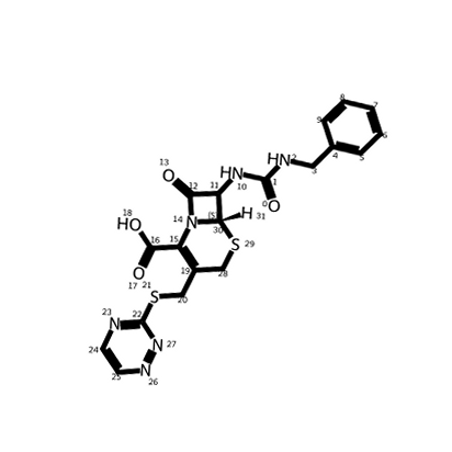 O=C(NCc1ccccc1)NC1C(=O)N2C(C(=O)O)=C(CSc3nccnn3)CS[C@@H]12